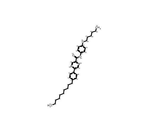 CCCCCCCCCCc1ccc(-c2cnc(C(=O)Oc3ccc(OCCCCCC)cc3)cn2)cc1